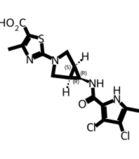 Cc1nc(N2C[C@@H]3[C@H](C2)[C@@H]3NC(=O)c2[nH]c(C)c(Cl)c2Cl)sc1C(=O)O